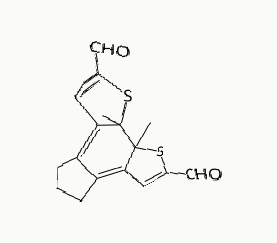 CC12SC(C=O)=CC1=C1CCCC1=C1C=C(C=O)SC12C